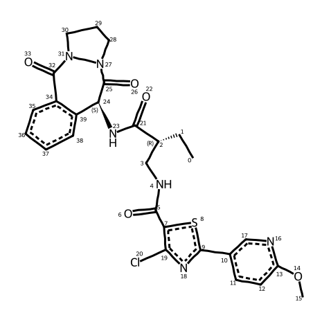 CC[C@H](CNC(=O)c1sc(-c2ccc(OC)nc2)nc1Cl)C(=O)N[C@@H]1C(=O)N2CCCN2C(=O)c2ccccc21